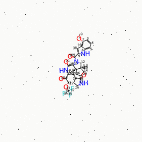 COc1cccc2[nH]c(C(=O)N3C[C@@H]4CCC[C@@H]4[C@H]3C(=O)N[C@@H](C[C@@H]3CCNC3=O)C(=O)COC(F)(F)F)cc12